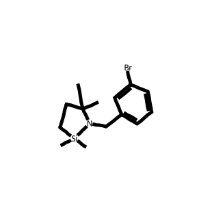 CC1(C)CC[Si](C)(C)N1Cc1cccc(Br)c1